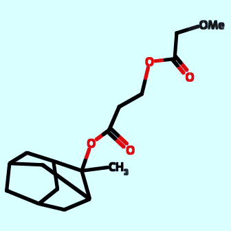 COCC(=O)OCCC(=O)OC1(C)C2CC3CC(C2)CC1C3